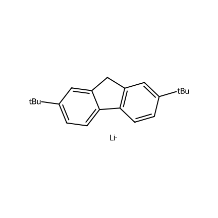 CC(C)(C)c1ccc2c(c1)Cc1cc(C(C)(C)C)ccc1-2.[Li]